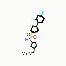 CNCC1CCC(NS(=O)(=O)c2ccc(-c3ccc(F)cc3F)cc2)C1